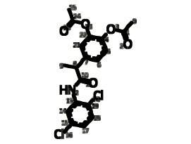 CC(=O)Oc1ccc(C(C)C(=O)Nc2cc(Cl)ccc2Cl)cc1OC(C)=O